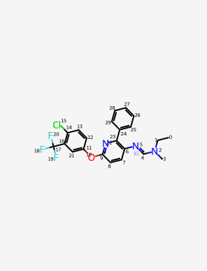 CCN(C)/C=N/c1ccc(Oc2ccc(Cl)c(C(F)(F)F)c2)nc1-c1ccccc1